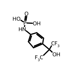 O=P(O)(O)Nc1ccc(C(O)(C(F)(F)F)C(F)(F)F)cc1